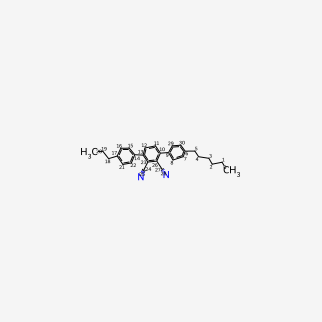 CCCCCCc1ccc(-c2ccc(-c3ccc(CCC)cc3)c(C#N)c2C#N)cc1